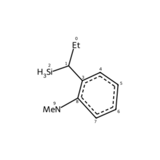 CCC([SiH3])c1ccccc1NC